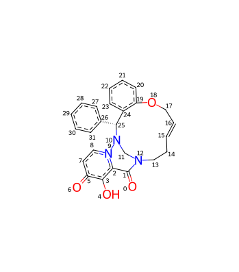 O=C1c2c(O)c(=O)ccn2N2CN1CC/C=C/COc1ccccc1[C@H]2c1ccccc1